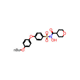 CCCCOc1ccc(Oc2ccc(S(=O)(=O)N(O)C(=O)C3CCOCC3)cc2)cc1